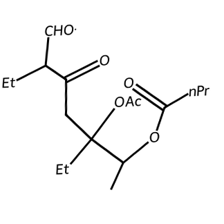 CCCC(=O)OC(C)C(CC)(CC(=O)C([C]=O)CC)OC(C)=O